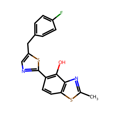 Cc1nc2c(O)c(-c3ncc(Cc4ccc(F)cc4)s3)ccc2s1